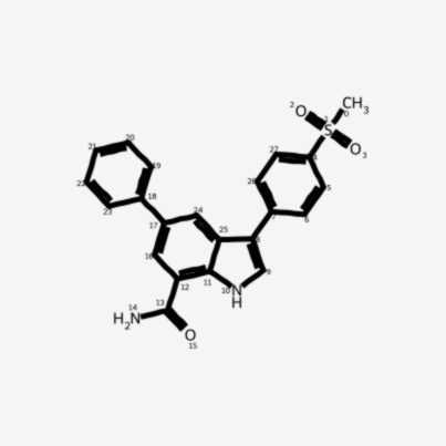 CS(=O)(=O)c1ccc(-c2c[nH]c3c(C(N)=O)cc(-c4ccccc4)cc23)cc1